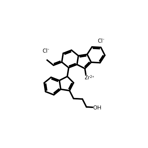 CC=c1ccc2c(c1C1C=C(CCCO)c3ccccc31)[C]([Zr+2])=c1ccccc1=2.[Cl-].[Cl-]